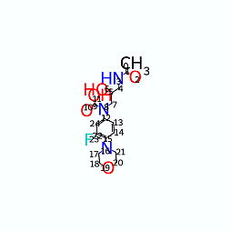 CC(=O)NC[C@@H](O)CN(C(=O)O)c1ccc(N2CCOCC2)c(F)c1